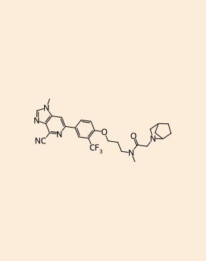 CN(CCCOc1ccc(-c2cc3c(ncn3C)c(C#N)n2)cc1C(F)(F)F)C(=O)CN1CC2CCC1C2